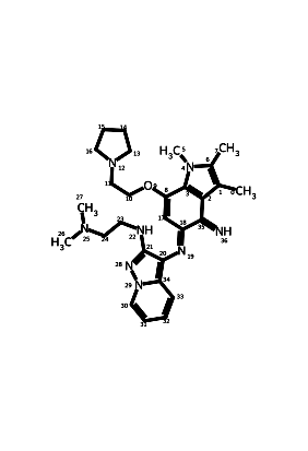 Cc1c2c(n(C)c1C)C(OCCN1CCCC1)=CC(=Nc1c(NCCN(C)C)nn3ccccc13)C2=N